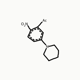 CC(=O)c1cc(N2CCCCC2)ccc1[N+](=O)[O-]